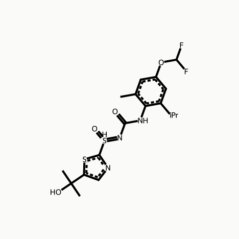 Cc1cc(OC(F)F)cc(C(C)C)c1NC(=O)N=[SH](=O)c1ncc(C(C)(C)O)s1